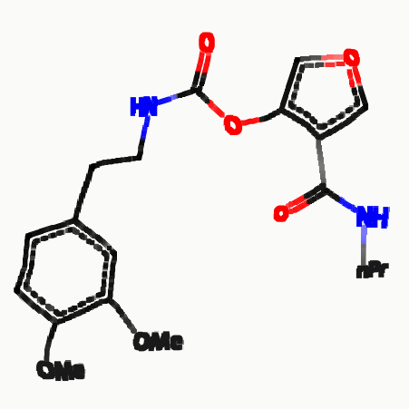 CCCNC(=O)c1cocc1OC(=O)NCCc1ccc(OC)c(OC)c1